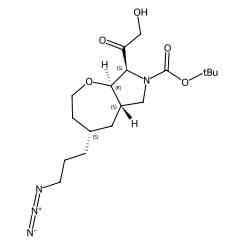 CC(C)(C)OC(=O)N1C[C@@H]2C[C@H](CCCN=[N+]=[N-])CCO[C@H]2[C@H]1C(=O)CO